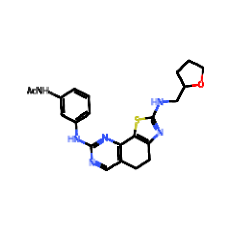 CC(=O)Nc1cccc(Nc2ncc3c(n2)-c2sc(NCC4CCCO4)nc2CC3)c1